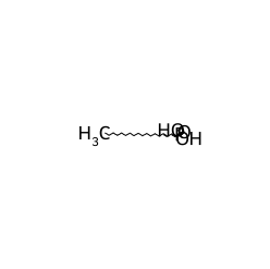 CCCCCCCCCCCCCC/C=C/C=C/P(=O)(O)O